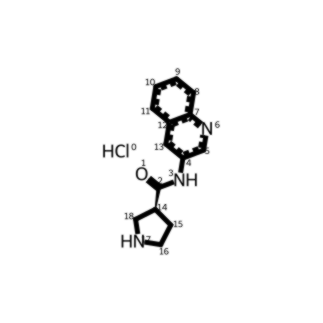 Cl.O=C(Nc1cnc2ccccc2c1)[C@H]1CCNC1